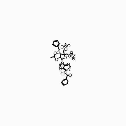 CC(=O)O[C@@H]1[C@H](n2cnc3c(NC(=O)c4ccccc4)ncnc32)OC(COS(C)(=O)=O)(COS(C)(=O)=O)[C@@H]1OCc1ccccc1